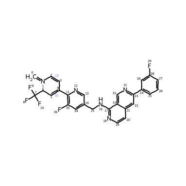 C=N/C=C\C(=C/CC(F)(F)F)c1ncc(CNc2nccc3cc(-c4cccc(F)c4)ncc23)cc1F